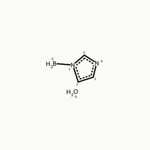 Bn1ccnc1.O